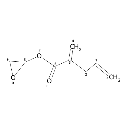 C=CCC(=C)C(=O)OC1CO1